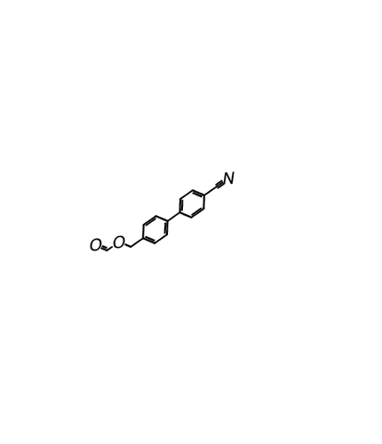 N#Cc1ccc(-c2ccc(COC=O)cc2)cc1